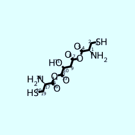 N[C@@H](CS)C(=O)OC(=O)CC(O)C(=O)OC(=O)[C@@H](N)CS